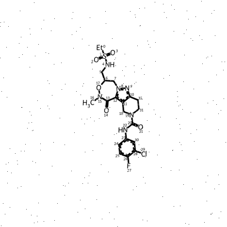 CCS(=O)(=O)NCC1Cn2nc3c(c2C(=O)N(C)O1)CN(C(=O)Nc1ccc(F)c(Cl)c1)CC3